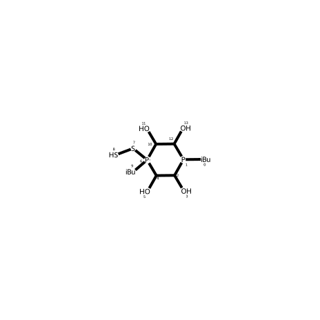 CCC(C)P1C(O)C(O)[P](SS)(C(C)CC)C(O)C1O